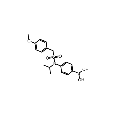 COc1ccc(CS(=O)(=O)N(c2ccc(B(O)O)cc2)C(C)C)cc1